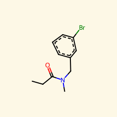 CCC(=O)N(C)Cc1cccc(Br)c1